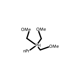 CCC[PH](COC)(COC)COC